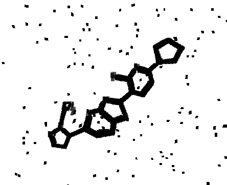 CN1N=CCC1c1ccc2sc(-c3ccc(N4CCCC4)nc3F)nc2n1